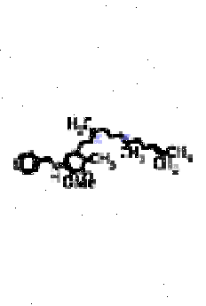 COC1=C(NCc2ccncc2)C[C@@H](C/C=C(\C)CC/C=C(\C)CCC=C(C)C)C(C)C1=O